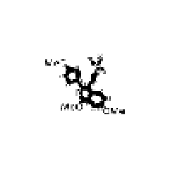 COc1ccc(-c2nc(OC)c3cc(OC)ccc3c2C#C[Si](C)(C)C)cc1